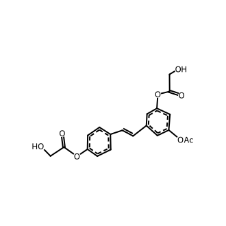 CC(=O)Oc1cc(/C=C/c2ccc(OC(=O)CO)cc2)cc(OC(=O)CO)c1